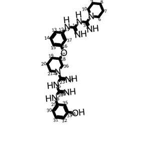 N=C(NC(=N)N1CCCCC1)Nc1cccc(OC2CCCN(C(=N)NC(=N)Nc3cccc(O)c3)C2)c1